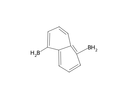 Bc1cccc2c(B)cccc12